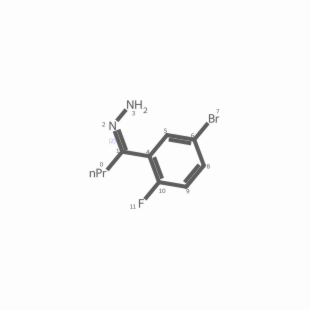 CCC/C(=N/N)c1cc(Br)ccc1F